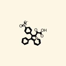 O=C(O)C(=O)c1c(-c2ccc([N+](=O)[O-])cc2)c(-c2ccccc2)c2ccccn12